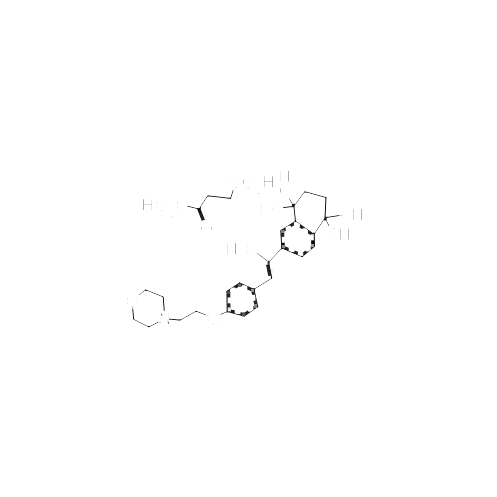 C/C(=C\c1ccc(OCCN2CCOCC2)cc1)c1ccc2c(c1)C(C)(C)CCC2(C)C.O=C(O)CCC(=O)C(=O)O